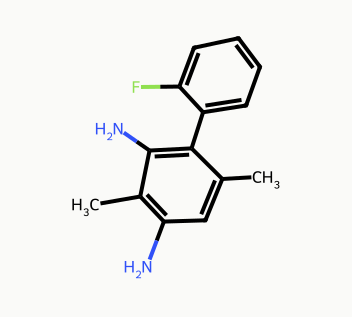 Cc1cc(N)c(C)c(N)c1-c1ccccc1F